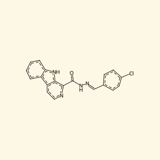 O=C(NN=Cc1ccc(Cl)cc1)c1nccc2c1[nH]c1ccccc12